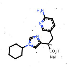 Nc1ccc(C[C@@H](C(=O)O)c2cn(C3CCCCC3)cn2)cn1.[NaH]